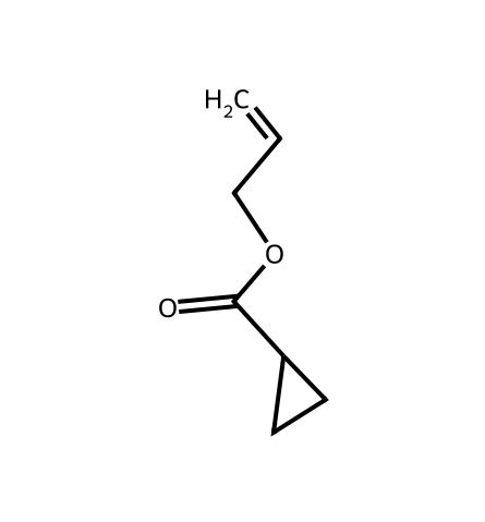 C=CCOC(=O)C1CC1